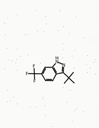 CC(C)(C)c1n[nH]c2cc(C(F)(F)F)ccc12